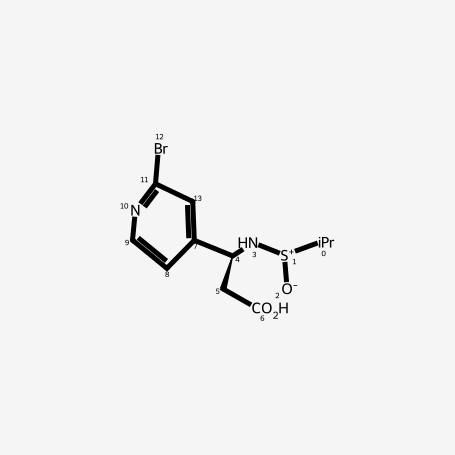 CC(C)[S+]([O-])N[C@@H](CC(=O)O)c1ccnc(Br)c1